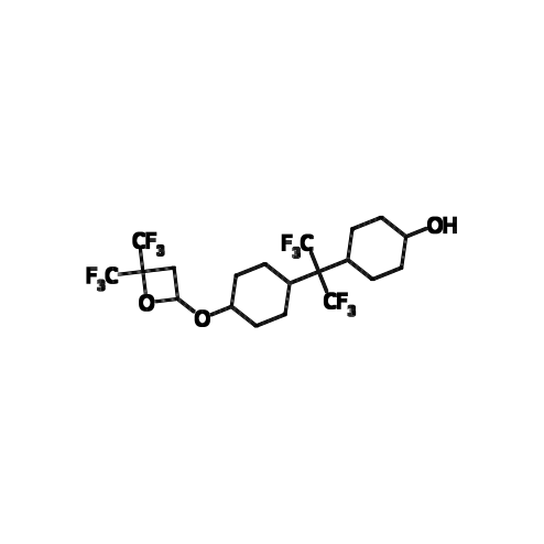 OC1CCC(C(C2CCC(OC3CC(C(F)(F)F)(C(F)(F)F)O3)CC2)(C(F)(F)F)C(F)(F)F)CC1